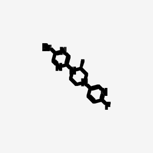 C[C@H]1CN(c2ccc(F)nc2)CCN1c1cnc(Br)cn1